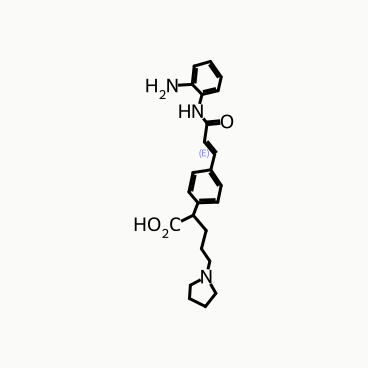 Nc1ccccc1NC(=O)/C=C/c1ccc(C(CCCN2CCCC2)C(=O)O)cc1